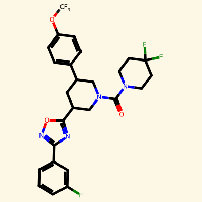 O=C(N1CCC(F)(F)CC1)N1CC(c2ccc(OC(F)(F)F)cc2)CC(c2nc(-c3cccc(F)c3)no2)C1